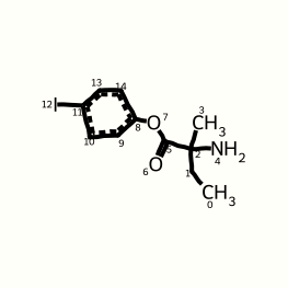 CCC(C)(N)C(=O)Oc1ccc(I)cc1